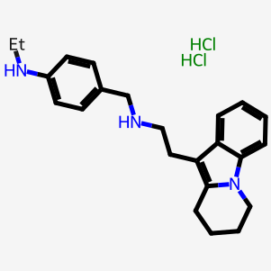 CCNc1ccc(CNCCc2c3n(c4ccccc24)CCCC3)cc1.Cl.Cl